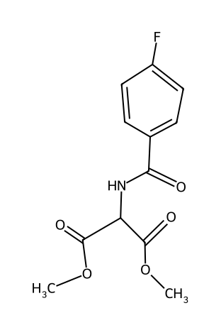 COC(=O)C(NC(=O)c1ccc(F)cc1)C(=O)OC